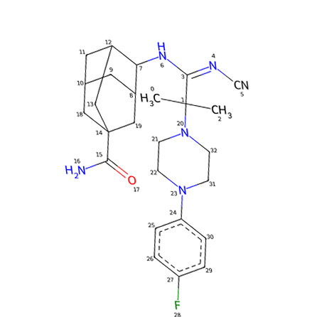 CC(C)(/C(=N\C#N)NC1C2CC3CC1CC(C(N)=O)(C3)C2)N1CCN(c2ccc(F)cc2)CC1